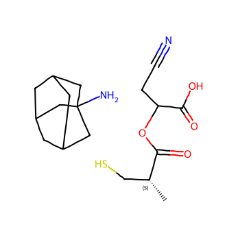 C[C@H](CS)C(=O)OC(CC#N)C(=O)O.NC12CC3CC(CC(C3)C1)C2